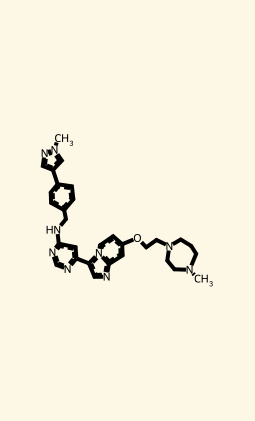 CN1CCCN(CCOc2ccn3c(-c4cc(NCc5ccc(-c6cnn(C)c6)cc5)ncn4)cnc3c2)CC1